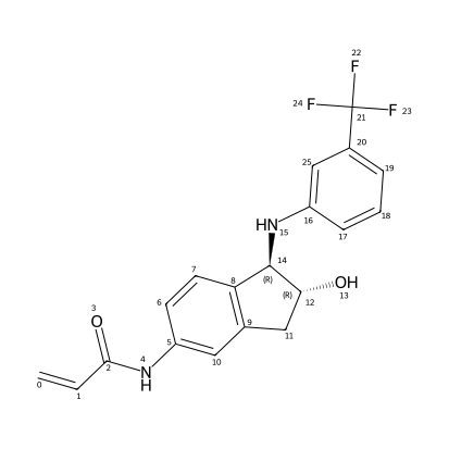 C=CC(=O)Nc1ccc2c(c1)C[C@@H](O)[C@@H]2Nc1cccc(C(F)(F)F)c1